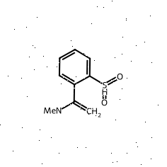 C=C(NC)c1ccccc1[SH](=O)=O